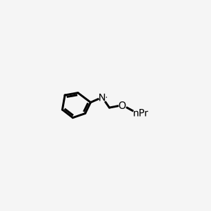 CCCOC[N]c1ccccc1